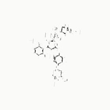 Cc1cccc(C)c1-c1cc(Oc2ccc(N3CCNC(=O)C3)cc2)nc(NS(=O)(=O)c2cnn(C)c2)n1